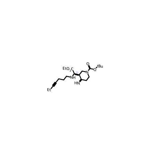 CCC#CCCCN/C(C(=O)OCC)=C1/CN(C(=O)OC(C)(C)C)CCC1=N